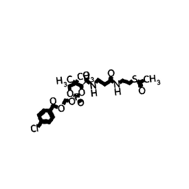 CC(=O)SCCNC(=O)CCNC(=O)[C@@H]1OP(=O)(OCOC(=O)c2ccc(Cl)cc2)OCC1(C)C